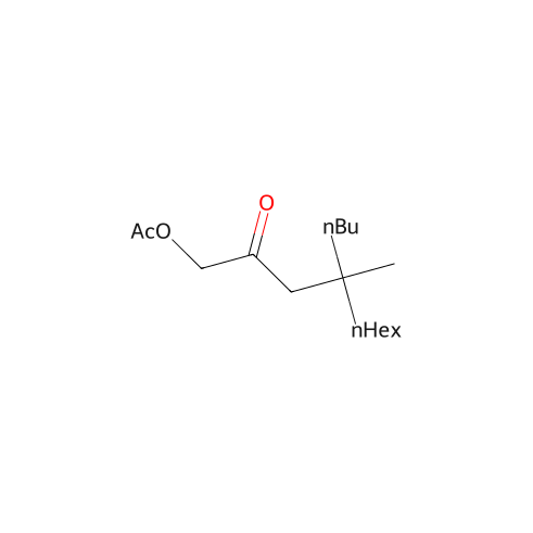 CCCCCCC(C)(CCCC)CC(=O)COC(C)=O